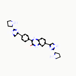 Oc1nc2cc(-c3c[nH]c([C@@H]4CCCN4)n3)ccc2nc1-c1ccc(-c2c[nH]c([C@@H]3CCCN3)n2)cc1